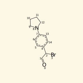 O=CC(Br)c1ccc(N2CCCC2)cc1